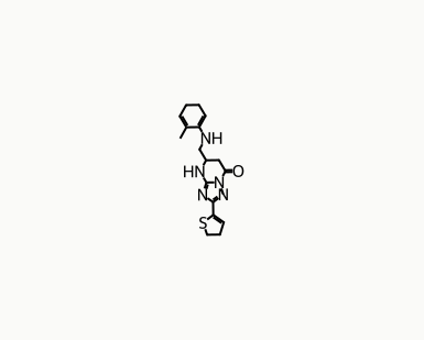 CC1=CCCC=C1NCC1CC(=O)n2nc(C3=CCCS3)nc2N1